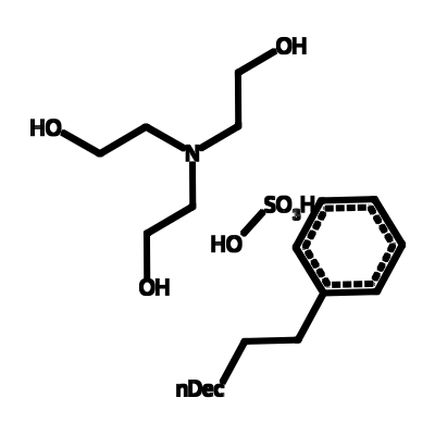 CCCCCCCCCCCCc1ccccc1.O=S(=O)(O)O.OCCN(CCO)CCO